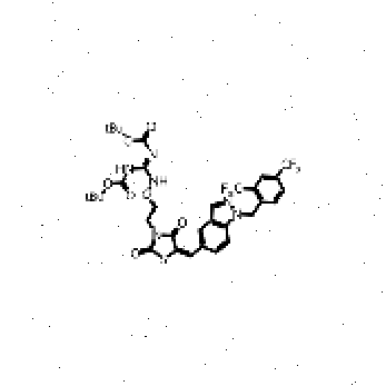 CC(C)(C)OC(=O)N=C(NOCCN1C(=O)SC(=Cc2ccc3c(cnn3Cc3ccc(C(F)(F)F)cc3C(F)(F)F)c2)C1=O)NC(=O)OC(C)(C)C